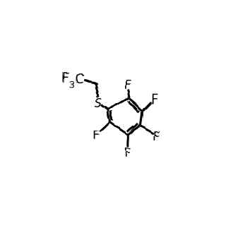 Fc1c(F)c(F)c(SCC(F)(F)F)c(F)c1F